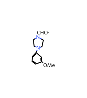 COc1cccc(N2CCN([C]=O)CC2)c1